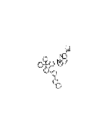 c1ccc(C2(c3ccccc3)c3ccc(-c4ccc5ccc6cc(C7CC8CCC7C8)cnc6c5n4)cc3-c3c(-c4cccc(-c5ccc6ccccc6c5)c4)cccc32)cc1